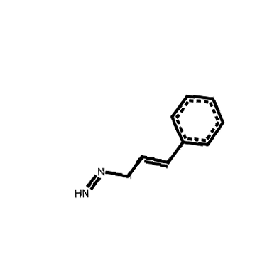 N=N[C]C=Cc1ccccc1